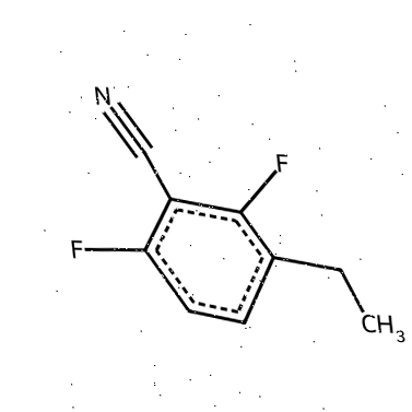 CCc1ccc(F)c(C#N)c1F